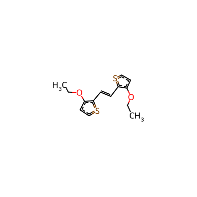 CCOc1ccsc1/C=C/c1sccc1OCC